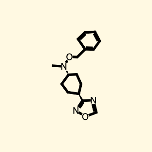 CN(OCc1ccccc1)[C@H]1CC[C@H](c2ncon2)CC1